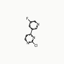 Fc1cncc(-c2ccnc(Cl)n2)c1